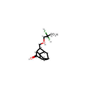 O=C1C2CC3CC(C2)C(COCC(F)(F)S(=O)(=O)O)C1C3